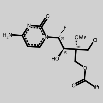 CO[C@](CCl)(COC(=O)C(C)C)[C@@H](O)[C@@H](F)n1ccc(N)nc1=O